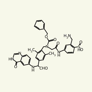 Cc1cc(C(C=O)Nc2ccc3nc[nH]c(=O)c3c2)cc(C)c1CN(CC(=O)Nc1ccc([SH](=O)=O)c(CN)c1)C(=O)OCc1ccccc1